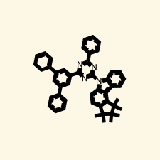 CC1(C)c2ccc3c(c2C(C)(C)C1(C)C)c1ccccc1n3-c1nc(-c2ccccc2)nc(-c2cc(C3=CC=CCC3)cc(-c3ccccc3)c2)n1